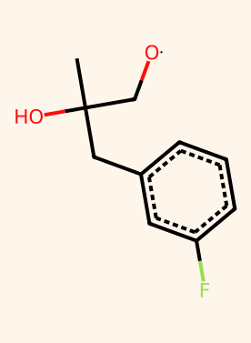 CC(O)(C[O])Cc1cccc(F)c1